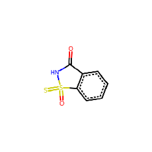 O=C1NS(=O)(=S)c2ccccc21